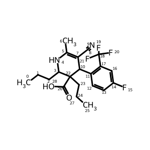 CCCC1NC(C)=C(C#N)C(c2ccc(F)cc2C(F)(F)F)C1(CCC)C(=O)O